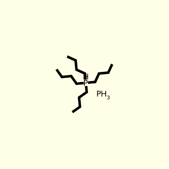 CCCC[PH](CCCC)(CCCC)CCCC.P